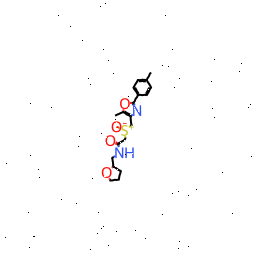 Cc1ccc(-c2nc(C[S+]([O-])CC(=O)NCC3CCCO3)c(C)o2)cc1